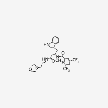 CN(C(=O)c1cc(C(F)(F)F)cc(C(F)(F)F)c1)C(CC(=O)NCCCN1CCOCC1)Cc1c[nH]c2ccccc12